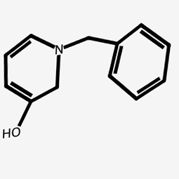 OC1=CC=CN(Cc2ccccc2)C1